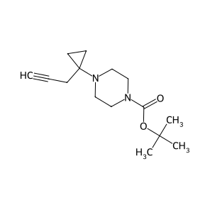 C#CCC1(N2CCN(C(=O)OC(C)(C)C)CC2)CC1